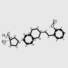 CCOc1ccccc1CC[C@@H]1CCc2cc([C@@H]3CC[C@](N)(CC)C3)ccc2C1